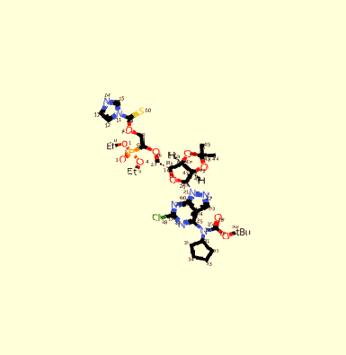 CCOP(=O)(OCC)C(COC(=S)n1ccnc1)OC[C@H]1O[C@@H](n2ncc3c(N(C(=O)OC(C)(C)C)C4CCCC4)nc(Cl)nc32)[C@@H]2OC(C)(C)O[C@@H]21